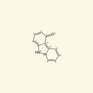 O=c1cccc2[nH]n3ccccc3c1-2